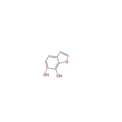 Oc1ccc2ccoc2c1O